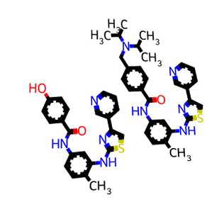 Cc1ccc(NC(=O)c2ccc(CN(C(C)C)C(C)C)cc2)cc1Nc1nc(-c2cccnc2)cs1.Cc1ccc(NC(=O)c2ccc(O)cc2)cc1Nc1nc(-c2cccnc2)cs1